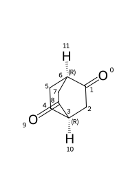 O=C1C[C@H]2CC[C@@H]1CC2=O